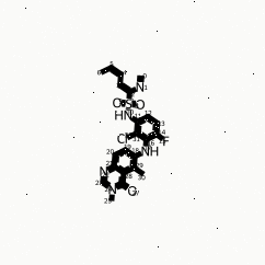 C=N/C(=C\C=C/C)S(=O)(=O)Nc1ccc(F)c(Nc2ccc3ncn(C)c(=O)c3c2C)c1Cl